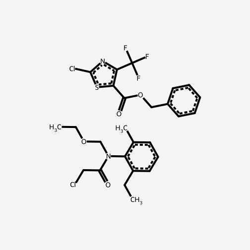 CCOCN(C(=O)CCl)c1c(C)cccc1CC.O=C(OCc1ccccc1)c1sc(Cl)nc1C(F)(F)F